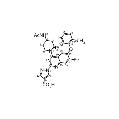 CC(=O)NC1CCN(c2nc(-n3cc(C(=O)O)cn3)nc3cc(F)c(Oc4c(C)cccc4C)cc23)CC1